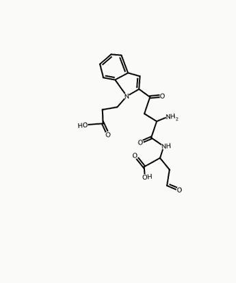 NC(CC(=O)c1cc2ccccc2n1CCC(=O)O)C(=O)NC(CC=O)C(=O)O